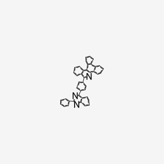 c1ccc(-c2nc(-c3ccc(-c4nc5c6ccccc6c6ccccc6c5c5ccccc45)cc3)c3ccccc3n2)cc1